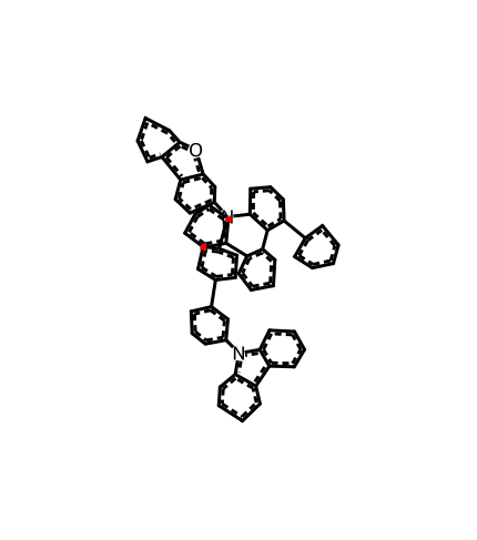 c1ccc(-c2ccccc2-c2c(-c3ccccc3)cccc2N(c2ccc(-c3cccc(-n4c5ccccc5c5ccccc54)c3)cc2)c2ccc3c(c2)oc2ccccc23)cc1